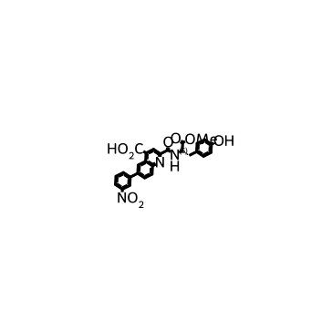 COC(=O)[C@H](Cc1ccc(O)cc1)NC(=O)c1cc(C(=O)O)c2cc(-c3cccc([N+](=O)[O-])c3)ccc2n1